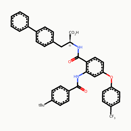 CC(C)(C)c1ccc(C(=O)Nc2cc(Oc3ccc(C(F)(F)F)cc3)ccc2C(=O)N[C@@H](Cc2ccc(-c3ccccc3)cc2)C(=O)O)cc1